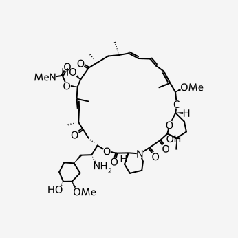 CNC(=O)O[C@@H]1/C(C)=C/[C@@H](C)C(=O)C[C@@H]([C@H](N)C[C@@H]2CC[C@@H](O)[C@H](OC)C2)OC(=O)[C@@H]2CCCCN2C(=O)C(=O)[C@]2(O)O[C@@H](CC[C@H]2C)C[C@H](OC)/C(C)=C/C=C/C=C/[C@@H](C)C[C@@H](C)C(=O)[C@@H]1O